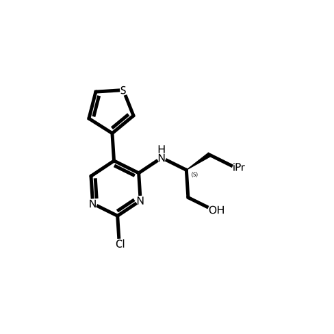 CC(C)C[C@@H](CO)Nc1nc(Cl)ncc1-c1ccsc1